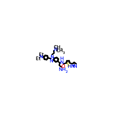 [CH2]CN(C[CH2])c1ccc(-c2nc3cc(C(CC(N)=O)NCc4ccc(-c5ccn[nH]5)s4)ccc3n2CCCN(C)C)cc1